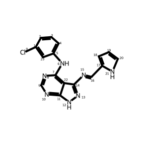 Clc1cccc(Nc2ncnc3[nH]nc(/N=C/c4ccc[nH]4)c23)c1